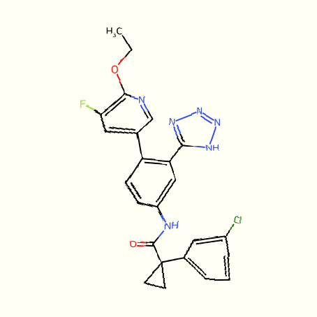 CCOc1ncc(-c2ccc(NC(=O)C3(c4cccc(Cl)c4)CC3)cc2-c2nnn[nH]2)cc1F